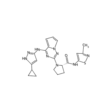 Cc1cc(NC(=O)[C@@H]2CCCN2c2nc(Nc3cc(C4CC4)[nH]n3)c3cccn3n2)sn1